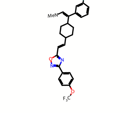 CNC=C(c1cccc(F)c1)C1CCC(C=Cc2nc(-c3ccc(OC(F)(F)F)cc3)no2)CC1